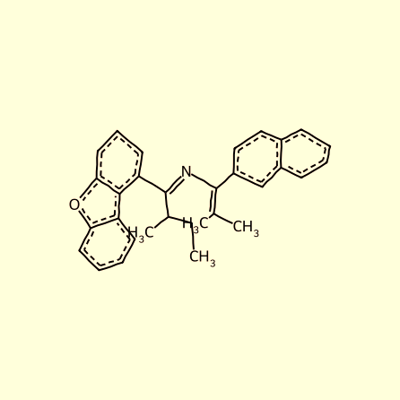 CCC(C)/C(=N\C(=C(C)C)c1ccc2ccccc2c1)c1cccc2oc3ccccc3c12